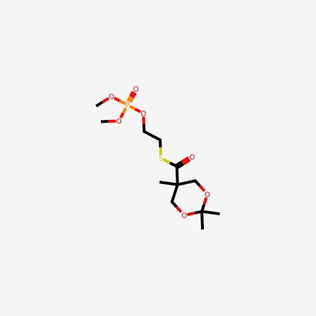 COP(=O)(OC)OCCSC(=O)C1(C)COC(C)(C)OC1